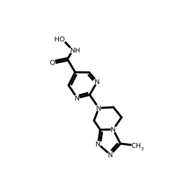 Cc1nnc2n1CCN(c1ncc(C(=O)NO)cn1)C2